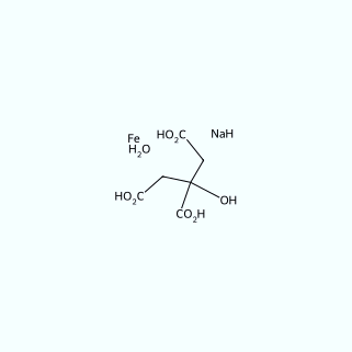 O.O=C(O)CC(O)(CC(=O)O)C(=O)O.[Fe].[NaH]